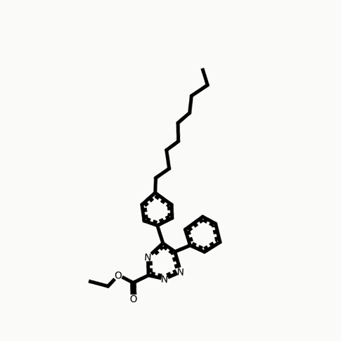 CCCCCCCCCc1ccc(-c2nc(C(=O)OCC)nnc2-c2ccccc2)cc1